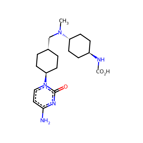 CN(C[C@H]1CC[C@H](n2ccc(N)nc2=O)CC1)[C@H]1CC[C@H](NC(=O)O)CC1